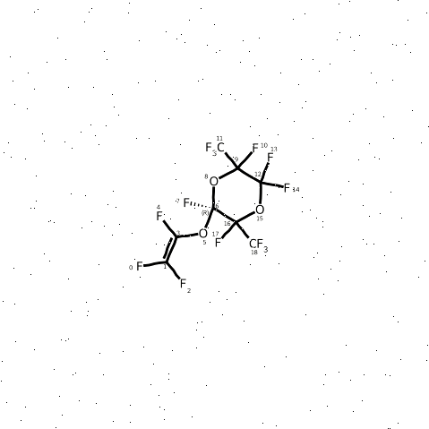 FC(F)=C(F)O[C@@]1(F)OC(F)(C(F)(F)F)C(F)(F)OC1(F)C(F)(F)F